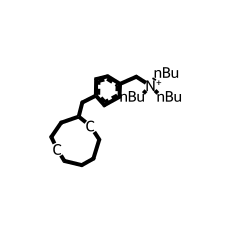 CCCC[N+](CCCC)(CCCC)Cc1ccc(CC2CCCCCCCC2)cc1